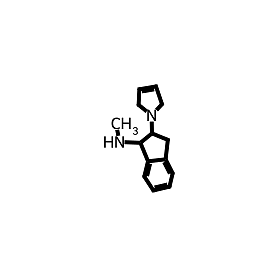 CNC1c2ccccc2CC1N1CC=CC1